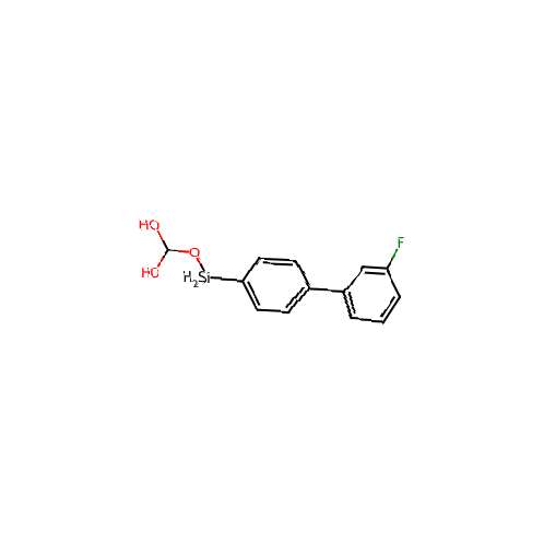 OC(O)O[SiH2]c1ccc(-c2cccc(F)c2)cc1